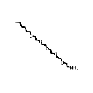 CCCCCCOCCOCCOCCOCCOCCN